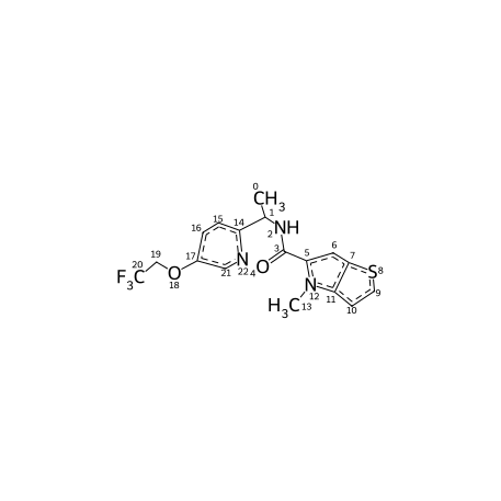 CC(NC(=O)c1cc2sccc2n1C)c1ccc(OCC(F)(F)F)cn1